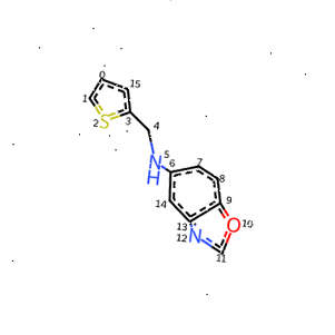 c1csc(CNc2ccc3ocnc3c2)c1